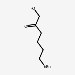 CCCCCCCCC(=O)C[O]